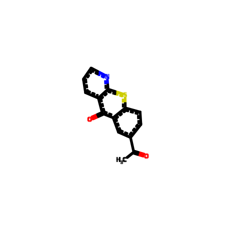 CC(=O)c1ccc2sc3ncccc3c(=O)c2c1